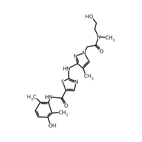 Cc1cn(CC(=O)N(C)CCO)nc1Nc1ncc(C(=O)Nc2c(C)ccc(O)c2C)s1